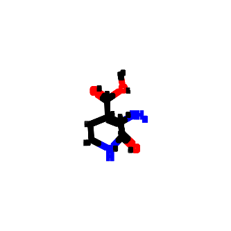 COC(=O)C1=C(N)C(=O)NCC1